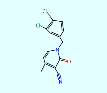 Cc1ccn(Cc2ccc(Cl)c(Cl)c2)c(=O)c1C#N